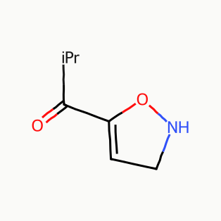 CC(C)C(=O)C1=CCNO1